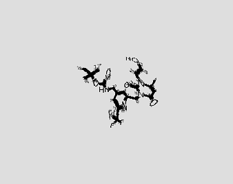 Cc1cc(=O)n(Cc2cc(CNC(=O)OC(C)(C)C)cc(C(F)(F)F)n2)c(=O)n1CCO